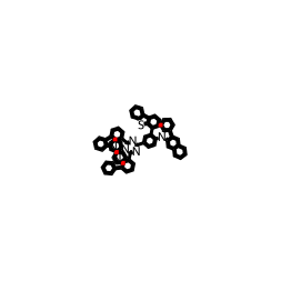 c1ccc(-n2c3ccccc3c3cccc(-c4nc(-c5ccc(-n6c7ccccc7c7cc8ccccc8cc76)c(-c6cccc7c6sc6ccccc67)c5)nc(-c5cccc6c7ccccc7n(-c7ccccc7)c56)n4)c32)cc1